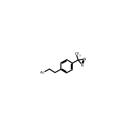 CC(=O)CCc1ccc(C2(C(F)(F)F)N=N2)cc1